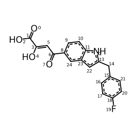 O=C(O)C(O)=CC(=O)c1ccc2[nH]c(Cc3ccc(F)cc3)cc2c1